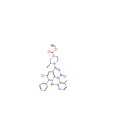 Cc1ccnc(C(C)C)c1-n1c(=O)nc(N2CCN(C(=O)OC(C)(C)C)C[C@@H]2C)c2cc(Cl)c(-c3ccccc3)nc21